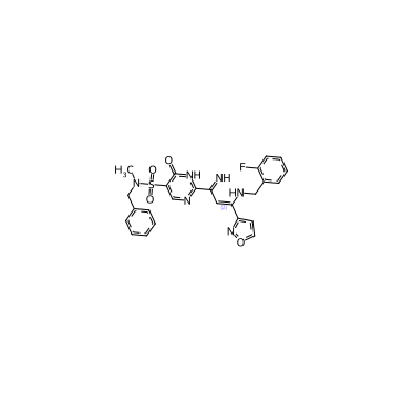 CN(Cc1ccccc1)S(=O)(=O)c1cnc(C(=N)/C=C(\NCc2ccccc2F)c2ccon2)[nH]c1=O